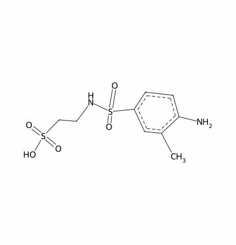 Cc1cc(S(=O)(=O)NCCS(=O)(=O)O)ccc1N